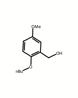 CCCCOc1ccc(OC)cc1CO